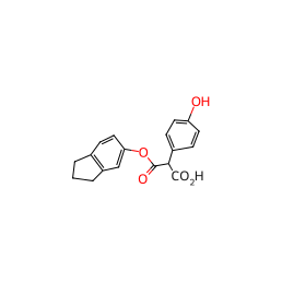 O=C(O)C(C(=O)Oc1ccc2c(c1)CCC2)c1ccc(O)cc1